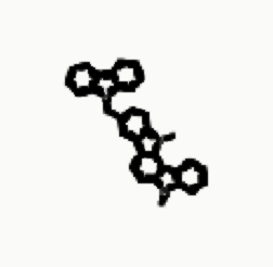 Cn1c2ccccc2c2c1ccc1c3cc(Cn4c5ccccc5c5ccccc54)ccc3n(C)c12